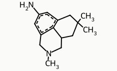 CN1Cc2cc(N)cc3c2C(C1)CC(C)(C)C3